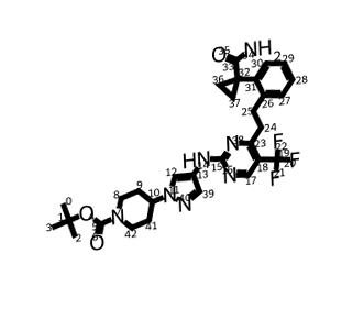 CC(C)(C)OC(=O)N1CCC(n2cc(Nc3ncc(C(F)(F)F)c(CCc4ccccc4C4(C(N)=O)CC4)n3)cn2)CC1